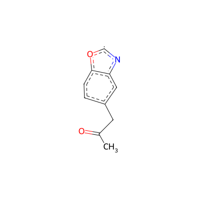 CC(=O)Cc1ccc2o[c]nc2c1